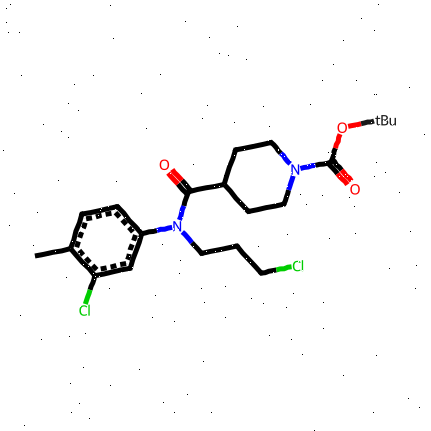 Cc1ccc(N(CCCCl)C(=O)C2CCN(C(=O)OC(C)(C)C)CC2)cc1Cl